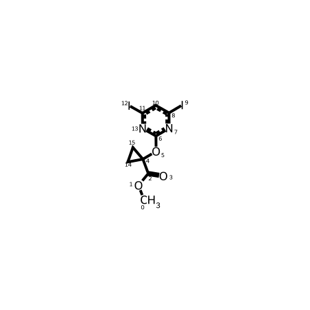 COC(=O)C1(Oc2nc(I)cc(I)n2)CC1